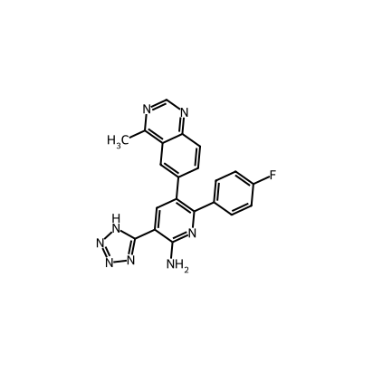 Cc1ncnc2ccc(-c3cc(-c4nnn[nH]4)c(N)nc3-c3ccc(F)cc3)cc12